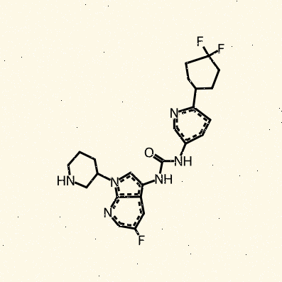 O=C(Nc1ccc(C2CCC(F)(F)CC2)nc1)Nc1cn(C2CCCNC2)c2ncc(F)cc12